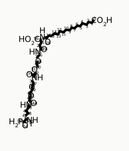 O=C(O)CCCCCCCCCCCCCCCCC(=O)NC(CCC(=O)NCCOCCOCC(=O)NCCOCCOCC(=O)NCCCC[C@H](NI)C(=O)P)C(=O)O